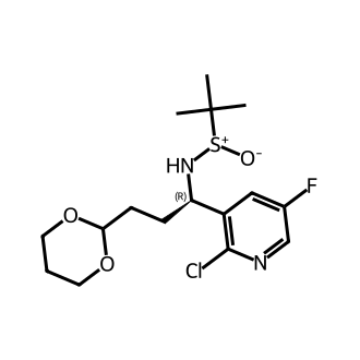 CC(C)(C)[S+]([O-])N[C@H](CCC1OCCCO1)c1cc(F)cnc1Cl